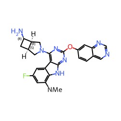 CNc1cc(F)cc2c1[nH]c1nc(Oc3ccc4cncnc4c3)nc(N3C[C@H]4C[C@@H](N)[C@H]4C3)c12